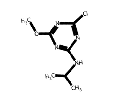 COc1nc(Cl)nc(NC(C)C)n1